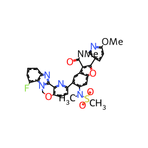 CNC(=O)c1c(-c2ccc(OC)nc2)oc2cc(N(C)S(C)(=O)=O)c(-c3ccc4c(n3)-c3nc5cccc(F)c5n3CO4)cc12